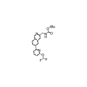 CC(C)(C)OC(=O)NCc1cc2cc(-c3cccc(OC(F)F)n3)ccc2cn1